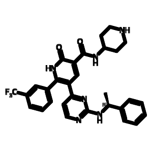 C[C@H](Nc1nccc(-c2cc(C(=O)NC3CCNCC3)c(=O)[nH]c2-c2cccc(C(F)(F)F)c2)n1)c1ccccc1